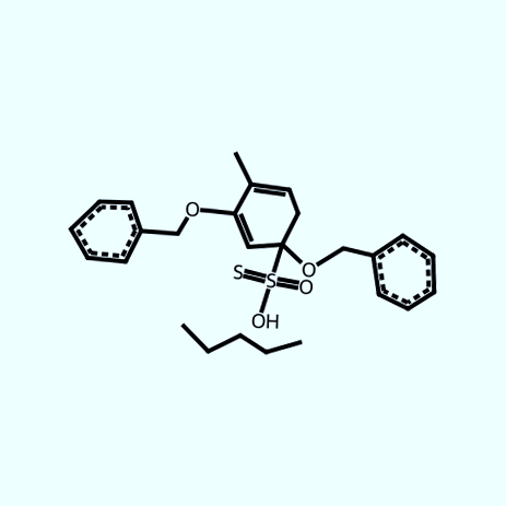 CC1=CCC(OCc2ccccc2)(S(=O)(O)=S)C=C1OCc1ccccc1.CCCCC